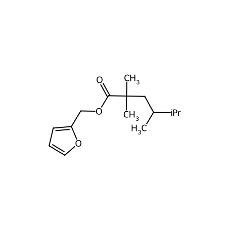 CC(C)C(C)CC(C)(C)C(=O)OCc1ccco1